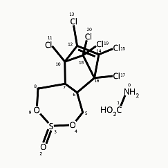 NC(=O)O.O=S1OCC2C(CO1)C1(Cl)C(Cl)=C(Cl)C2(Cl)C1(Cl)Cl